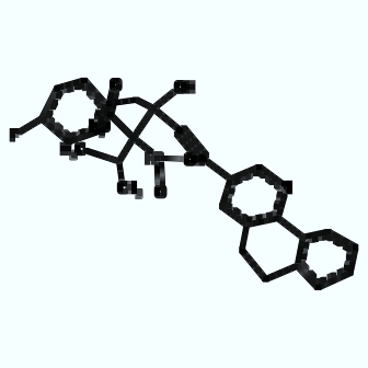 CC(C)C(C(=O)O)([PH](=O)O)C(O)(C#Cc1cnc2c(c1)CCc1ccccc1-2)Cc1ccc(F)cc1